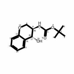 CC(C)(C)OC(=O)N[C@@H]1COc2ccccc2[C@H]1O